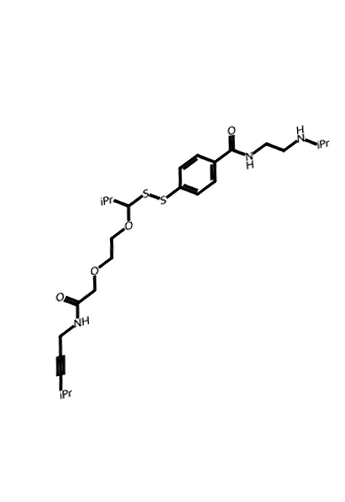 CC(C)C#CCNC(=O)COCCOC(SSc1ccc(C(=O)NCCNC(C)C)cc1)C(C)C